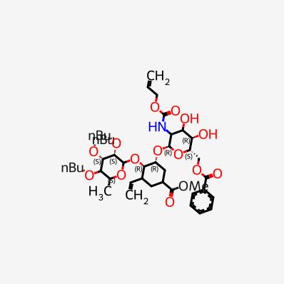 C=CCOC(=O)NC1C(O)[C@@H](O)[C@H](COC(=O)c2ccccc2)O[C@H]1O[C@@H]1CC(C(=O)OC)CC(C=C)[C@H]1OC1O[C@@H](C)C(OCCCC)[C@H](OCCCC)[C@@H]1OCCCC